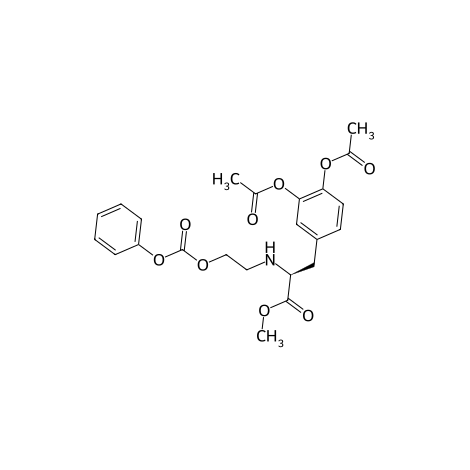 COC(=O)[C@H](Cc1ccc(OC(C)=O)c(OC(C)=O)c1)NCCOC(=O)Oc1ccccc1